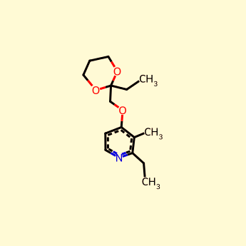 CCc1nccc(OCC2(CC)OCCCO2)c1C